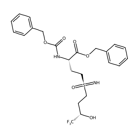 N=[S@](=O)(CC[C@H](NC(=O)OCc1ccccc1)C(=O)OCc1ccccc1)CC[C@H](O)C(F)(F)F